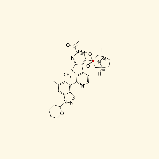 Cc1cc2c(cnn2C2CCCCO2)c(-c2nccc3c2sc2nc([S+](C)[O-])nc(N4C[C@H]5CC[C@@H](C4)N5C(=O)OC(C)(C)C)c23)c1C(F)(F)F